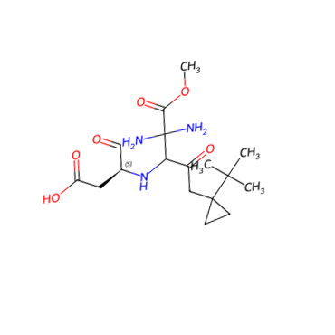 COC(=O)C(N)(N)C(N[C@H](C=O)CC(=O)O)C(=O)CC1(C(C)(C)C)CC1